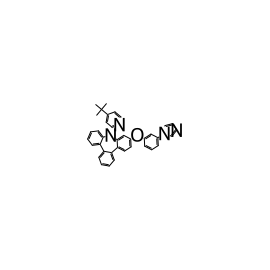 CC(C)(C)c1ccnc(N2c3ccccc3-c3ccccc3-c3ccc(Oc4cccc(-n5ccnc5)c4)cc32)c1